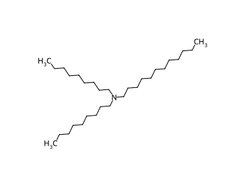 CCCCCCCCCCCCN(CCCCCCCCC)CCCCCCCCC